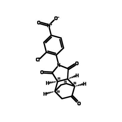 O=C1C[C@@H]2CC[C@H]1[C@@H]1C(=O)N(c3ccc([N+](=O)[O-])cc3Cl)C(=O)[C@H]21